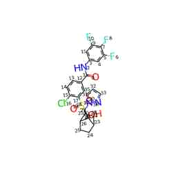 O=C(Nc1cc(F)c(F)c(F)c1)c1ccc(Cl)c(S(=O)(=O)[C@@H]2CC3CCC2[C@@]3(O)Cn2cccn2)c1